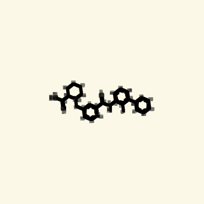 Cc1c(NC(=O)c2cc(CN3CCCCC3C(=O)O)ccn2)cccc1-c1ccccc1